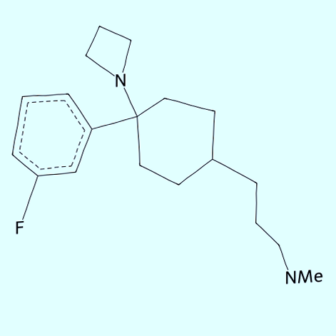 CNCCCC1CCC(c2cccc(F)c2)(N2CCC2)CC1